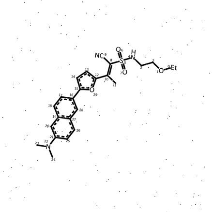 CCOCCNS(=O)(=O)/C(C#N)=C(\C)c1ccc(-c2ccc3cc(N(C)C)ccc3c2)o1